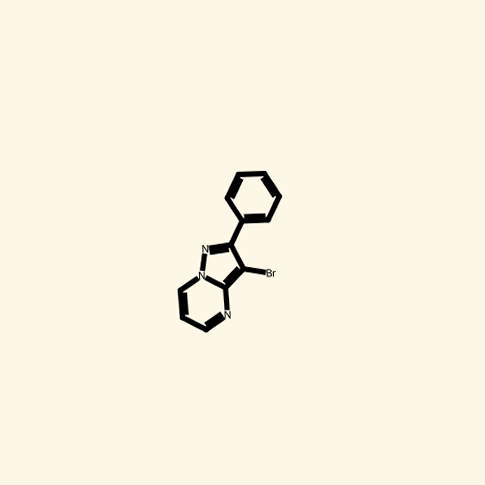 Brc1c(-c2ccccc2)nn2cccnc12